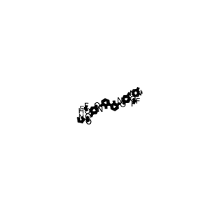 Cc1c(-c2nc3cc(COC(=O)[C@@H]4CCCN4)c(OC(F)F)cc3o2)cccc1-c1cccc(-c2nc3cc(CN4CCN(C)C(C)C4)c(OC(F)F)cc3o2)c1C